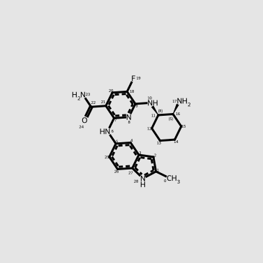 Cc1cc2cc(Nc3nc(N[C@@H]4CCCC[C@@H]4N)c(F)cc3C(N)=O)ccc2[nH]1